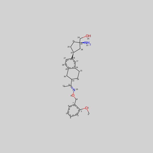 COc1ccccc1CON=C(C)C1CCc2cc([C@H]3CC[C@](N)(CO)C3)ccc2C1